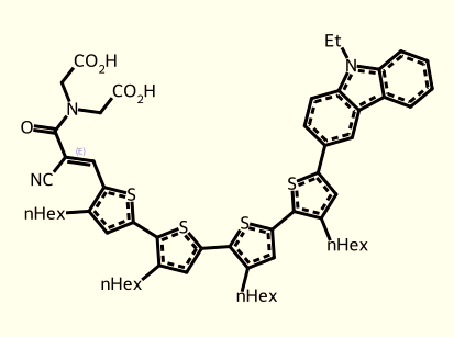 CCCCCCc1cc(-c2sc(-c3sc(-c4sc(-c5ccc6c(c5)c5ccccc5n6CC)cc4CCCCCC)cc3CCCCCC)cc2CCCCCC)sc1/C=C(\C#N)C(=O)N(CC(=O)O)CC(=O)O